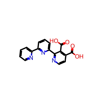 O=C(O)c1ccnc(-c2cccc(-c3ccccn3)n2)c1C(=O)O